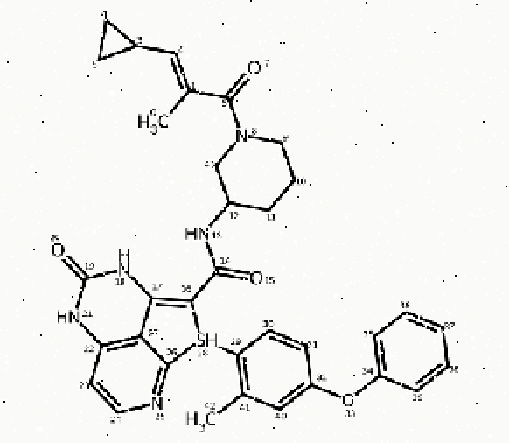 C/C(=C\C1CC1)C(=O)N1CCCC(NC(=O)C2=C3NC(=O)Nc4ccnc(c43)[SH]2c2ccc(Oc3ccccc3)cc2C)C1